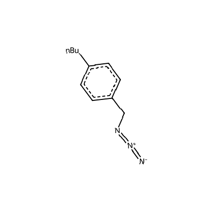 CCCCc1ccc(CN=[N+]=[N-])cc1